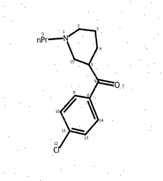 CCCN1CCCC(C(=O)c2ccc(Cl)cc2)C1